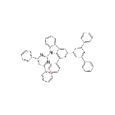 c1ccc(-c2cc(-c3ccccc3)cc(-c3cc(-c4ccccc4)c4c(c3)c3ccccc3n4-c3nc(-c4ccccc4)cc(-c4ccccc4)n3)c2)cc1